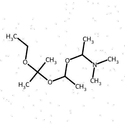 CCOC(C)(C)OC(C)OC(C)N(C)C